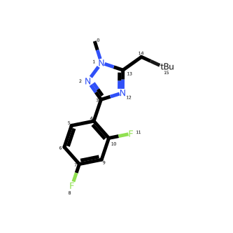 Cn1nc(-c2ccc(F)cc2F)nc1CC(C)(C)C